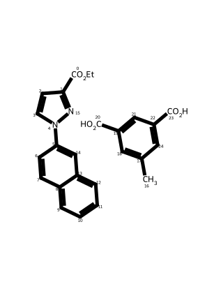 CCOC(=O)c1ccn(-c2ccc3ccccc3c2)n1.Cc1cc(C(=O)O)cc(C(=O)O)c1